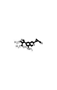 CC(C)c1c(-c2cc(N)c3cnc(C4CC4C#N)cc3c2)cnn1C